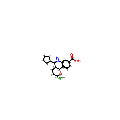 Cl.O=C(O)c1ccc2c(c1)NC(C1CCCC1)C1CCCOC21